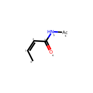 C/C=C\C(=O)NC(C)=O